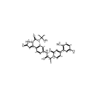 CCCC(C)(C)OC(=O)n1[nH]c(=O)cc1-c1ccc(NC(=O)C(C)n2ccc(-c3cc(Cl)ccc3C#N)cc2=O)cc1